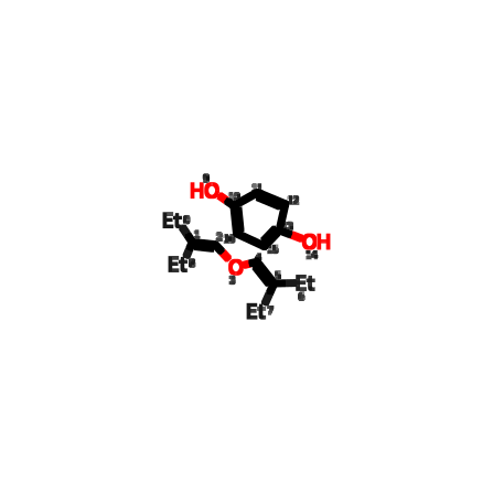 CCC(=COC=C(CC)CC)CC.Oc1ccc(O)cc1